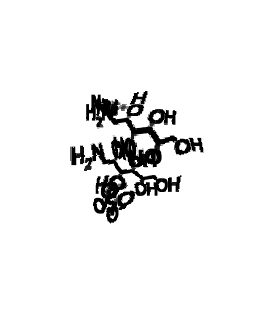 NC[C@H](O)[C@@H](O)[C@H](O)[C@H](O)CO.NC[C@H](O)[C@@H](O)[C@H](O)[C@H](O)CO.O=S(=O)([O-])[O-].[Na+].[Na+]